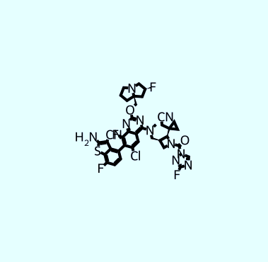 CN(C[C@@H]1CN(C(=O)n2cnc(F)n2)[C@@H]1C1(CC#N)CC1)c1nc(OC[C@@]23CCCN2C[C@H](F)C3)nc2c(F)c(-c3ccc(F)c4sc(N)c(C#N)c34)c(Cl)cc12